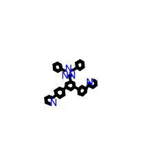 c1ccc(-c2nc(-c3ccccc3)nc(-c3cc(-c4ccc(-c5ccccn5)cc4)cc(-c4cccc(-c5ccccn5)c4)c3)n2)cc1